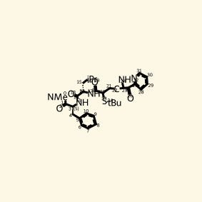 CNC(=O)[C@H](Cc1ccccc1)NC(=O)[C@H](CC(C)C)NC(=O)C(CCC(N)C(=O)c1ccccn1)SC(C)(C)C